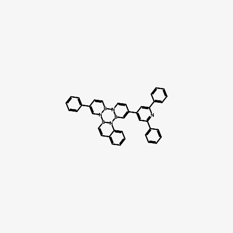 C1=CC(c2ccccc2)=CN2B1N1C=CC(c3cc(-c4ccccc4)nc(-c4ccccc4)c3)=CB1N1B2C=Cc2ccccc21